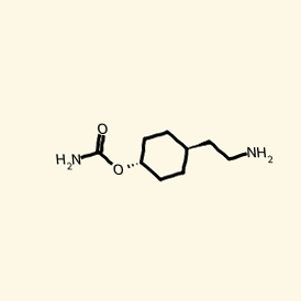 NCC[C@H]1CC[C@H](OC(N)=O)CC1